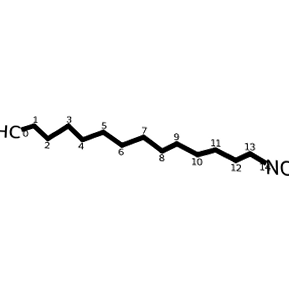 O=[C]CCCCCCCCCCCCC[N+](=O)[O-]